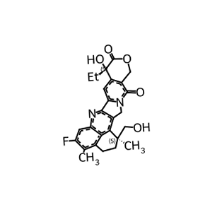 CC[C@@]1(O)C(=O)OCc2c1cc1n(c2=O)Cc2c-1nc1cc(F)c(C)c3c1c2[C@@](C)(CO)CC3